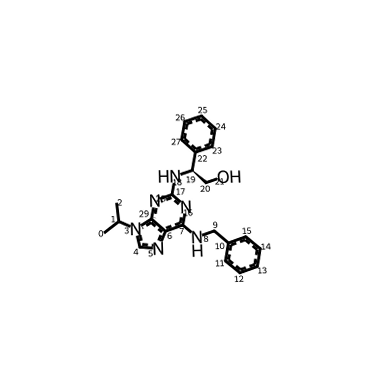 CC(C)n1cnc2c(NCc3ccccc3)nc(N[C@H](CO)c3ccccc3)nc21